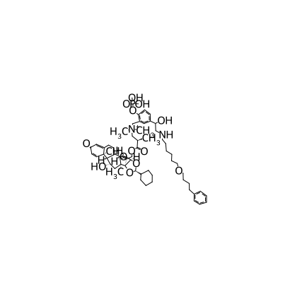 C[C@H](C[N+](C)(C)Cc1cc(C(O)CNCCCCCCOCCCCc2ccccc2)ccc1OP(=O)(O)O)C(=O)OCC(=O)[C@@]12O[C@H](C3CCCCC3)O[C@@H]1C[C@H]1[C@@H]3CCC4=CC(=O)C=C[C@]4(C)[C@H]3[C@@H](O)C[C@@]12C